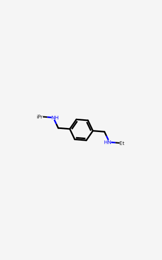 CCNCc1ccc(CNC(C)C)cc1